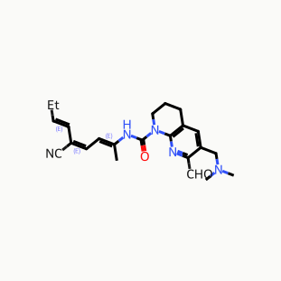 CC/C=C/C(C#N)=C\C=C(/C)NC(=O)N1CCCc2cc(CN(C)C)c(C=O)nc21